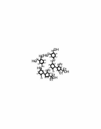 CCCc1cc(C(O)(CC)CC)ccc1-c1cc(COc2ccc(CO)c(CO)c2)ccc1C.CCCc1cc(C(O)(CC)CC)ccc1-c1cc(NCc2ccc(CO)c(CO)c2)ccc1C